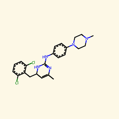 CC1=CC(Cc2c(Cl)cccc2Cl)NC(Nc2ccc(N3CCN(C)CC3)cc2)=N1